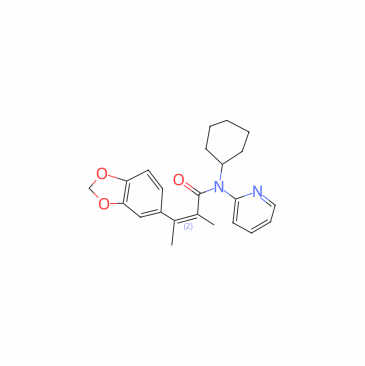 C/C(C(=O)N(c1ccccn1)C1CCCCC1)=C(\C)c1ccc2c(c1)OCO2